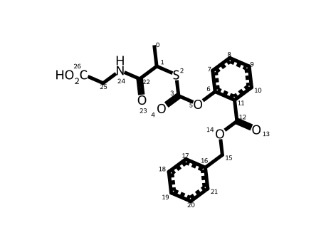 CC(SC(=O)Oc1ccccc1C(=O)OCc1ccccc1)C(=O)NCC(=O)O